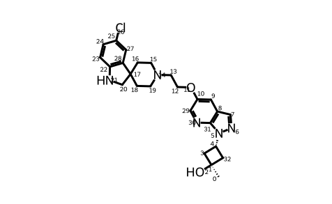 C[C@]1(O)C[C@H](n2ncc3cc(OCCN4CCC5(CC4)CNc4ccc(Cl)cc45)cnc32)C1